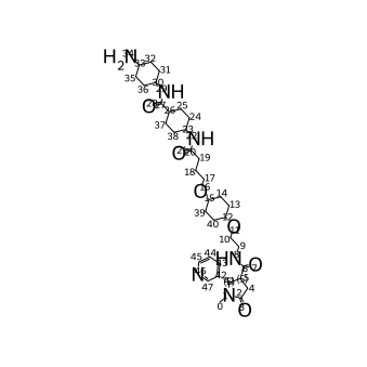 CN1C(=O)C[C@H](C(=O)NCCOC2CCC(OCCCC(=O)NC3CCC(C(=O)NC4CCC(N)CC4)CC3)CC2)[C@H]1c1cccnc1